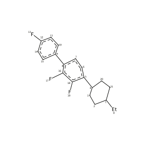 CCC1CCC(c2ccc(-c3ccc(F)cc3)c(F)c2F)CC1